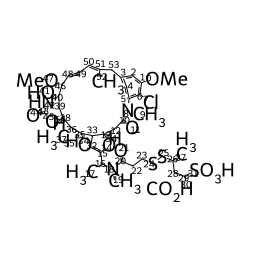 COc1cc2cc(c1Cl)N(C)C(=O)C[C@@H]1OC([C@H](C)N(C)C(=O)CCSSC(C)CC(C(=O)O)S(=O)(=O)O)=C[C@]13O[C@H]3[C@H](C)[C@@H]1C[C@@](O)(NC(=O)O1)[C@H](OC)/C=C/C=C(\C)C2